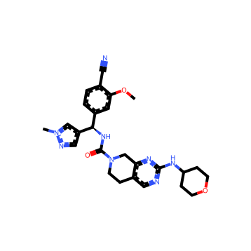 COc1cc([C@@H](NC(=O)N2CCc3cnc(NC4CCOCC4)nc3C2)c2cnn(C)c2)ccc1C#N